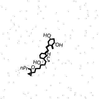 C=C1/C(=C\C=C2/CCC[C@]3(C)[C@@H]([C@H](C)[C@H](O)CCCC4(C(=O)CCC)CC4)CC[C@@H]23)C[C@@H](O)C[C@@H]1O